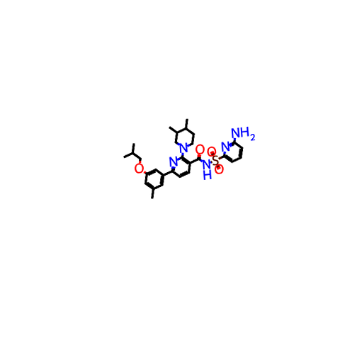 Cc1cc(OCC(C)C)cc(-c2ccc(C(=O)NS(=O)(=O)c3cccc(N)n3)c(N3CCC(C)C(C)C3)n2)c1